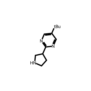 CC(C)(C)c1cnc(C2CCNC2)nc1